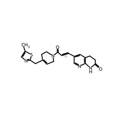 Cc1cnc(CC2=CCN(C(=O)/C=C/c3cnc4c(c3)CCC(=O)N4)CC2)s1